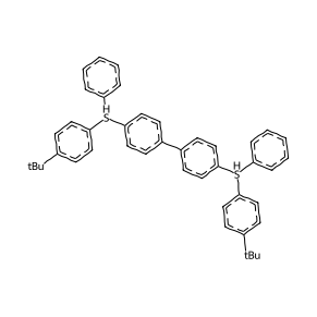 CC(C)(C)c1ccc([SH](c2ccccc2)c2ccc(-c3ccc([SH](c4ccccc4)c4ccc(C(C)(C)C)cc4)cc3)cc2)cc1